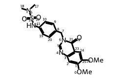 COc1cc2ncn(Cc3ccc(NS(=O)(=O)N(C)C)cc3)c(=O)c2cc1OC